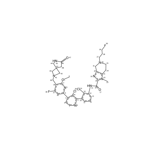 COc1nc(-c2ccnc(-c3cccc(NC(=O)c4nc5c(n4C)CCN(CCCF)C5)c3Cl)c2Cl)cc(F)c1CN1CC2(CNC(=O)C2)C1